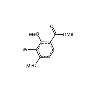 COC(=O)c1ccc(OC)c(C(C)C)c1OC